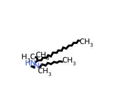 CCCCCCCCCCCCCCCCCC(c1[nH]cc[n+]1C(C)CCCCCCCCC)C(C)C